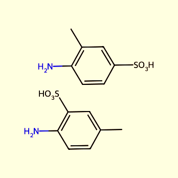 Cc1cc(S(=O)(=O)O)ccc1N.Cc1ccc(N)c(S(=O)(=O)O)c1